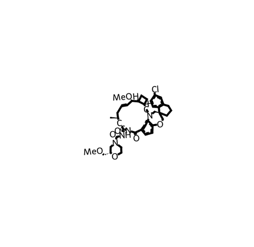 COC[C@@H]1CN(C(=O)NS2(=O)=NC(=O)c3ccc4c(c3)N(C[C@@H]3CC[C@H]3[C@@H](OC)/C=C/C[C@H](C)C2)C[C@@]2(CCCc3cc(Cl)ccc32)CO4)CCO1